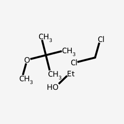 CCO.COC(C)(C)C.ClCCl